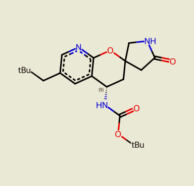 CC(C)(C)Cc1cnc2c(c1)[C@@H](NC(=O)OC(C)(C)C)CC1(CNC(=O)C1)O2